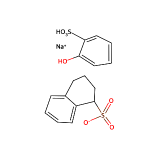 O=S(=O)(O)c1ccccc1O.O=S(=O)([O-])C1CCCc2ccccc21.[Na+]